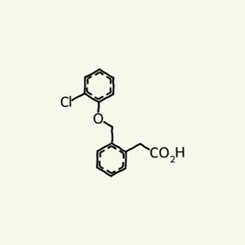 O=C(O)Cc1ccccc1COc1ccccc1Cl